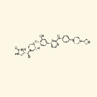 N#Cc1cc(-c2ncnc(Nc3ccc(N4CCN(C5COC5)CC4)cc3)n2)ccc1O[C@H]1CCN(C(=O)C2CNC(=O)N2)C[C@@H]1F